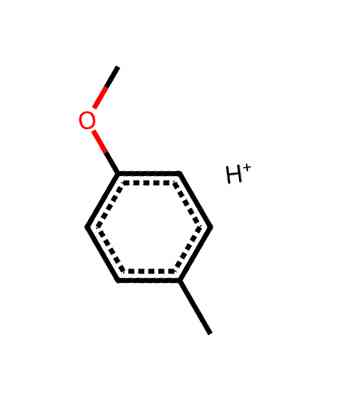 COc1ccc(C)cc1.[H+]